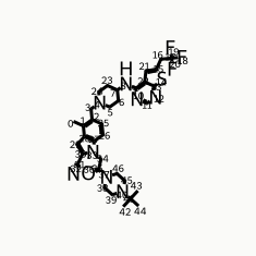 Cc1c(CN2CCC(Nc3ncnc4sc(CC(F)(F)F)cc34)CC2)ccc2c1cc(C#N)n2CC(=O)N1CCN(C(C)(C)C)CC1